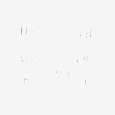 CCCCO.Cc1cc(C)c(C)[c]([AlH2])c1C